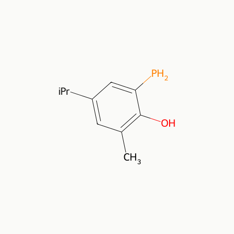 Cc1cc(C(C)C)cc(P)c1O